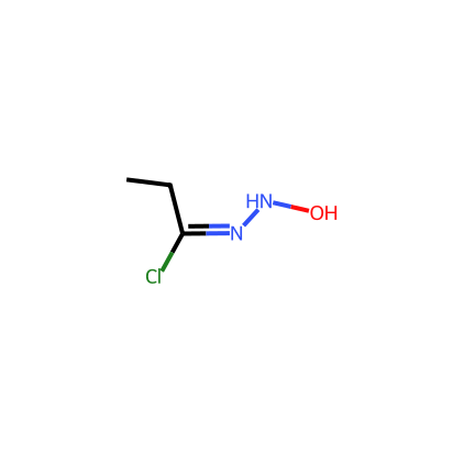 CC/C(Cl)=N\NO